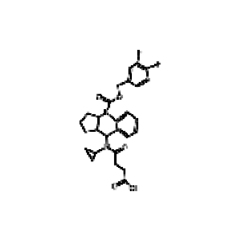 O=C(O)CCC(=O)N(C1CC1)C1c2ccccc2N(C(=O)OCc2ccc(F)c(F)c2)C2CCCC21